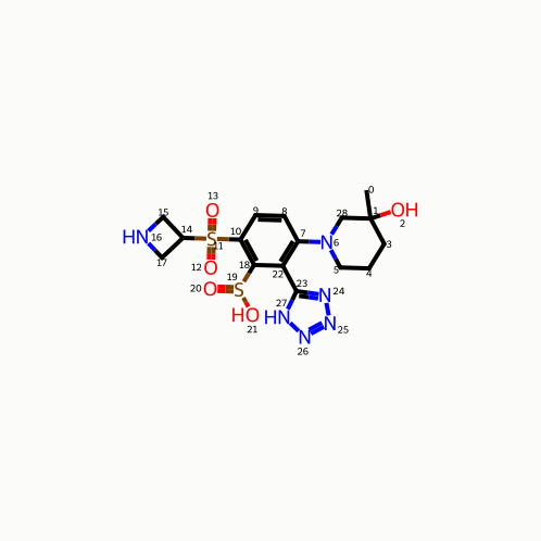 CC1(O)CCCN(c2ccc(S(=O)(=O)C3CNC3)c(S(=O)O)c2-c2nnn[nH]2)C1